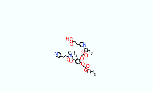 COC(=O)COc1ccc(C(=O)CN(C)C(=O)CCc2ccncc2)cc1OCC(=O)OC.O=C(O)CCc1ccncc1